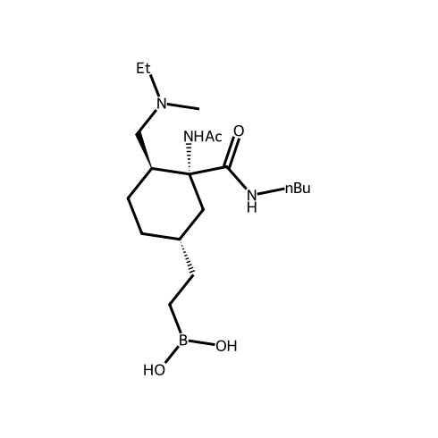 CCCCNC(=O)[C@@]1(NC(C)=O)C[C@H](CCB(O)O)CC[C@H]1CN(C)CC